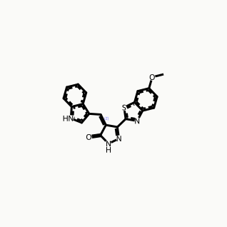 COc1ccc2nc(C3=NNC(=O)/C3=C\c3c[nH]c4ccccc34)sc2c1